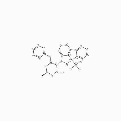 C[C@@H]1O[C@@H](C)CN(Cc2ccccc2)[C@@H]1CO[Si](c1ccccc1)(c1ccccc1)C(C)(C)C